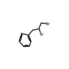 BrCC(Br)Cc1ccccc1